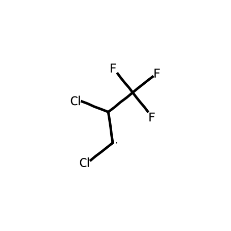 FC(F)(F)C(Cl)[CH]Cl